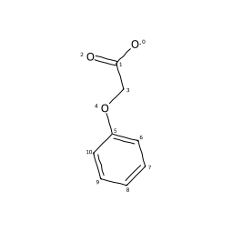 [O]C(=O)COc1ccccc1